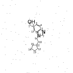 OCc1ccc2ncn(CCC3CCCC3)c2c1